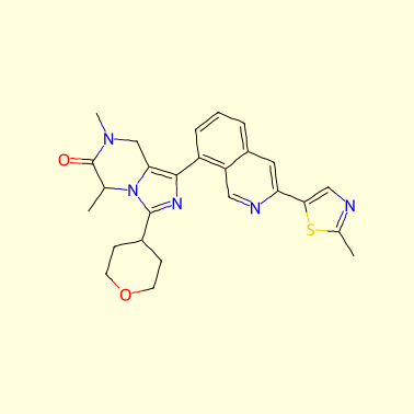 Cc1ncc(-c2cc3cccc(-c4nc(C5CCOCC5)n5c4CN(C)C(=O)C5C)c3cn2)s1